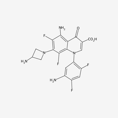 Nc1cc(-n2cc(C(=O)O)c(=O)c3c(N)c(F)c(N4CC(N)C4)c(F)c32)c(F)cc1F